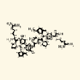 COc1ccc(C[C@H](CN[C@@H](CCCN=C(N)N)C(=O)O)NC(=O)[C@@H]2CCCN2C(=O)[C@H](CO)NC(=O)CNC(=O)[C@H](Cc2cccs2)NC(=O)[C@@H]2C[C@@H](O)CN2C(=O)[C@@H]2CCCN2C(=O)[C@@H](N)CCCN=C(N)N)cc1